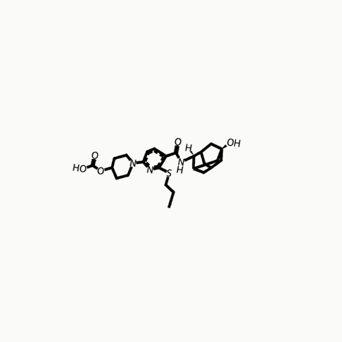 CCCSc1nc(N2CCC(OC(=O)O)CC2)ccc1C(=O)N[C@H]1C2CC3CC1C[C@@](O)(C3)C2